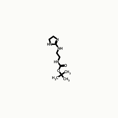 CC(C)(C)OC(=O)NCCNC1=NCCN1